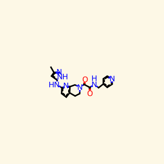 Cc1cc(Nc2ccc3c(n2)CN(C(=O)C(=O)NCc2ccncc2)CC3)[nH]n1